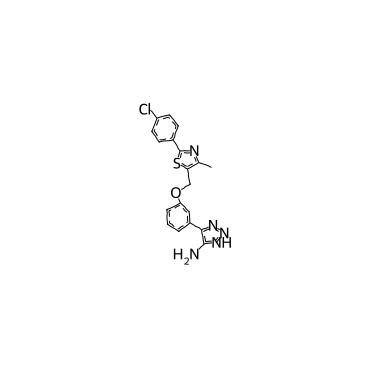 Cc1nc(-c2ccc(Cl)cc2)sc1COc1cccc(-c2nn[nH]c2N)c1